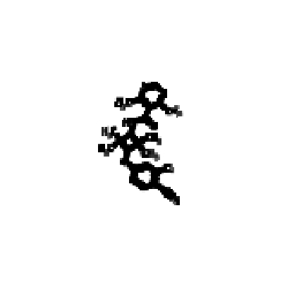 Cc1ncnc(C)c1C(=O)NC1C(C)(C)C(Oc2ccc(C#N)c(Cl)c2)C1(C)C